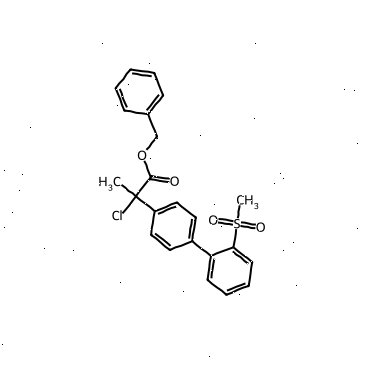 CC(Cl)(C(=O)OCc1ccccc1)c1ccc(-c2ccccc2S(C)(=O)=O)cc1